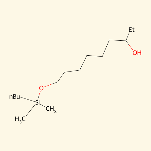 CCCC[Si](C)(C)OCCCCCCC(O)CC